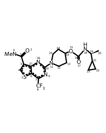 CNC(=O)c1csc2c(C(F)(F)F)nc(N3CCC(OC(=O)N[C@@H](C)C4CC4)CC3)nc12